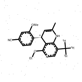 [2H]C([2H])([2H])c1cnc(OCC)c2c1NC(C)=C[C@H]2c1ccc(C#N)cc1OC